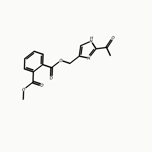 COC(=O)c1ccccc1C(=O)OCc1c[nH]c(C(C)=O)n1